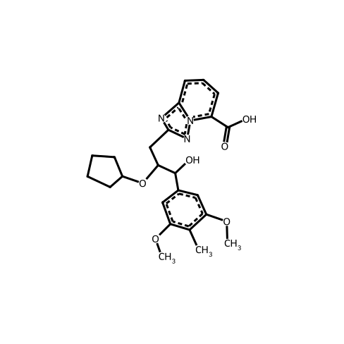 COc1cc(C(O)C(Cc2nc3cccc(C(=O)O)n3n2)OC2CCCC2)cc(OC)c1C